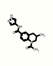 CC(=O)N1CC(C)Cc2cc(C(=O)Nc3cn[nH]c3)ccc21